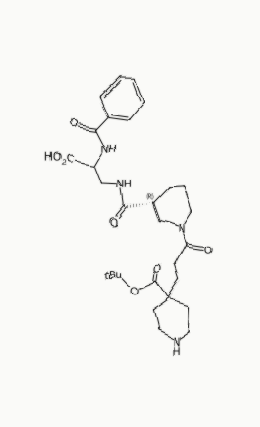 CC(C)(C)OC(=O)C1(CCC(=O)N2CCC[C@@H](C(=O)NCC(NC(=O)c3ccccc3)C(=O)O)C2)CCNCC1